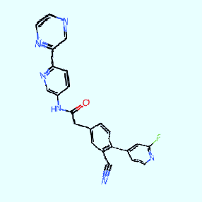 N#Cc1cc(CC(=O)Nc2ccc(-c3cnccn3)nc2)ccc1-c1ccnc(F)c1